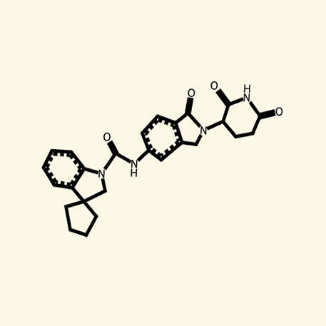 O=C1CCC(N2Cc3cc(NC(=O)N4CC5(CCCC5)c5ccccc54)ccc3C2=O)C(=O)N1